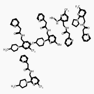 CC1CCN(c2cc(C(F)(F)F)ccc2CNC(=O)Cc2ccccn2)CC1.CC1CCN(c2nc(C(C)(C)C)ccc2CNC(=O)Cc2ccccn2)CC1.CC1CCN(c2nc(C(F)(F)F)ccc2CNC(=O)Cc2ccccn2)CC1.CCCCNc1nc(C(F)(F)F)ccc1CNC(=O)Cc1ccccn1.O=C(Cc1ccccn1)NCc1ccc(C(F)(F)F)nc1N1CCCC1